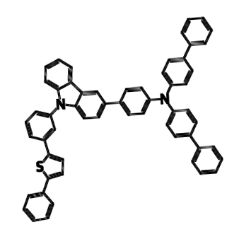 c1ccc(-c2ccc(N(c3ccc(-c4ccccc4)cc3)c3ccc(-c4ccc5c(c4)c4ccccc4n5-c4cccc(-c5ccc(-c6ccccc6)s5)c4)cc3)cc2)cc1